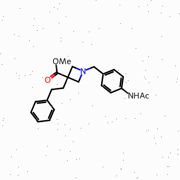 COC(=O)C1(CCc2ccccc2)CN(Cc2ccc(NC(C)=O)cc2)C1